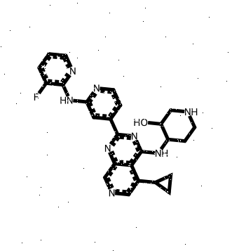 OC1CNCCC1Nc1nc(-c2ccnc(Nc3ncccc3F)c2)nc2cncc(C3CC3)c12